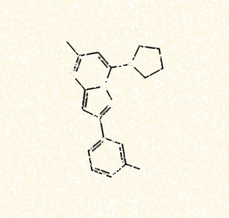 Cc1cc(N2CCCC2)n2nc(-c3cccc(Cl)c3)cc2n1